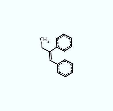 CCC(=Cc1ccccc1)c1ccccc1